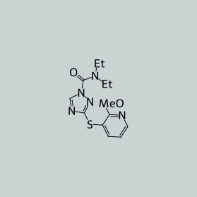 CCN(CC)C(=O)n1cnc(Sc2cccnc2OC)n1